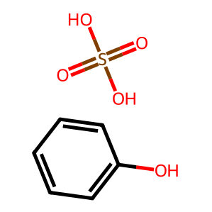 O=S(=O)(O)O.Oc1ccccc1